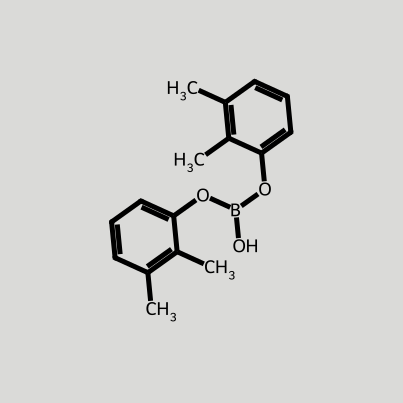 Cc1cccc(OB(O)Oc2cccc(C)c2C)c1C